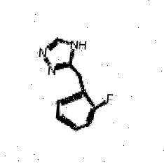 Fc1ccccc1Cc1nnc[nH]1